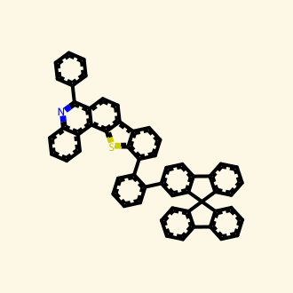 c1ccc(-c2nc3ccccc3c3c2ccc2c4cccc(-c5ccccc5-c5ccc6c(c5)C5(c7ccccc7-c7ccccc75)c5ccccc5-6)c4sc23)cc1